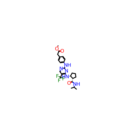 COC(=O)Cc1ccc(Nc2ncc(C(F)(F)F)c(N[C@@H]3CCC[C@@H]3C(=O)NC(C)C)n2)cc1